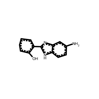 Nc1ccc2[nH]c(-c3ccccc3O)nc2c1